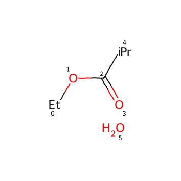 CCOC(=O)C(C)C.O